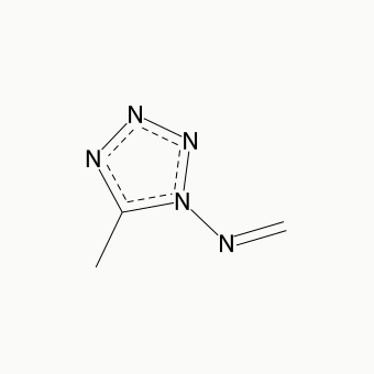 C=Nn1nnnc1C